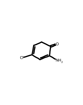 NC1=CC(Cl)=CCC1=O